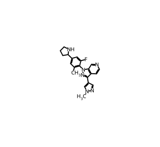 Cc1cc(C2CCCN2)cc(F)c1-n1nc(-c2cnn(C)c2)c2ccncc21